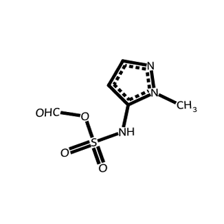 Cn1nccc1NS(=O)(=O)OC=O